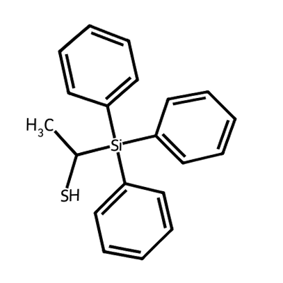 CC(S)[Si](c1ccccc1)(c1ccccc1)c1ccccc1